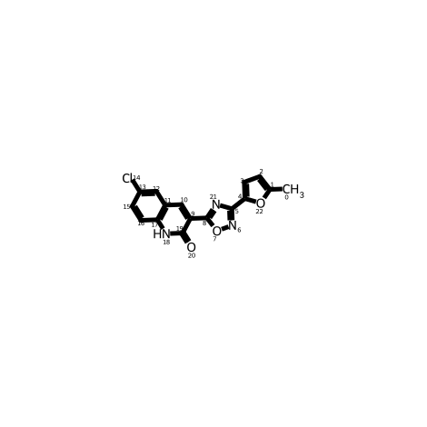 Cc1ccc(-c2noc(-c3cc4cc(Cl)ccc4[nH]c3=O)n2)o1